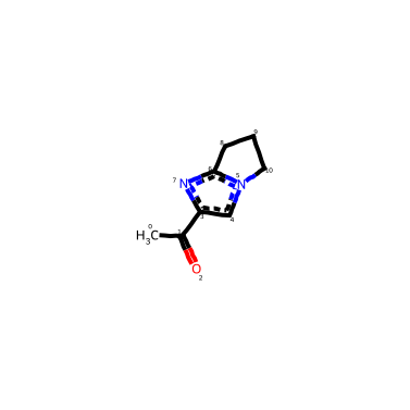 CC(=O)c1cn2c(n1)CCC2